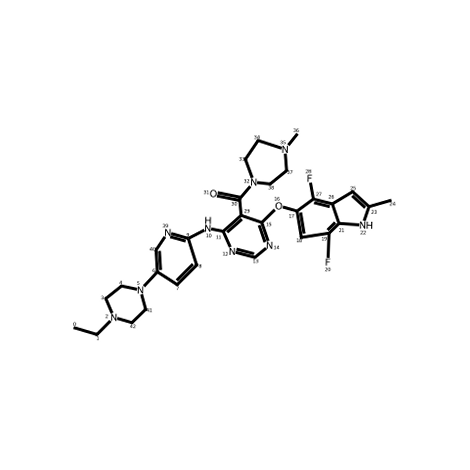 CCN1CCN(c2ccc(Nc3ncnc(Oc4cc(F)c5[nH]c(C)cc5c4F)c3C(=O)N3CCN(C)CC3)nc2)CC1